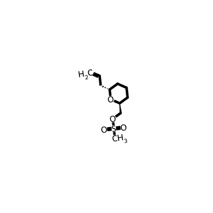 C=CC[C@@H]1CCC[C@@H](COS(C)(=O)=O)O1